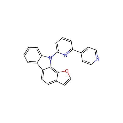 c1cc(-c2ccncc2)nc(-n2c3ccccc3c3ccc4ccoc4c32)c1